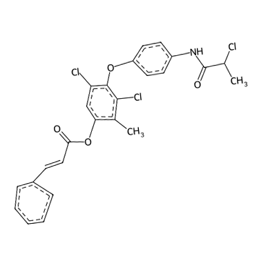 Cc1c(OC(=O)C=Cc2ccccc2)cc(Cl)c(Oc2ccc(NC(=O)C(C)Cl)cc2)c1Cl